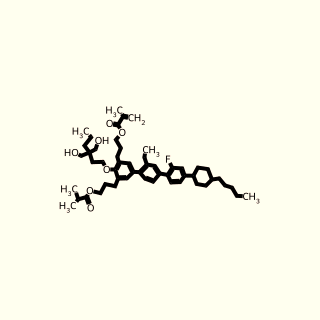 C=C(C)C(=O)OCCCc1cc(-c2ccc(-c3ccc(C4CCC(CCCCC)CC4)cc3F)cc2CC)cc(CCCOC(=O)C(C)C)c1OCCC(CO)(CO)CCC